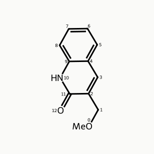 COCc1cc2ccccc2[nH]c1=O